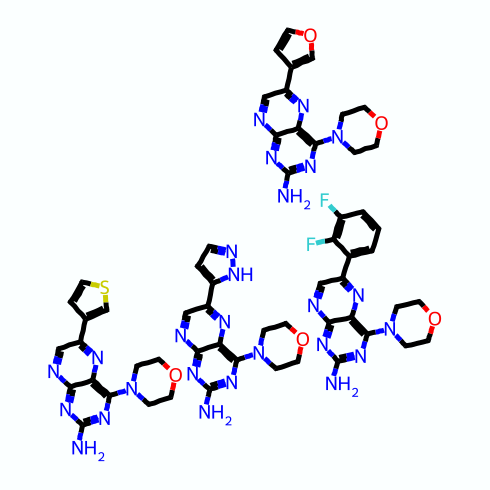 Nc1nc(N2CCOCC2)c2nc(-c3cccc(F)c3F)cnc2n1.Nc1nc(N2CCOCC2)c2nc(-c3ccn[nH]3)cnc2n1.Nc1nc(N2CCOCC2)c2nc(-c3ccoc3)cnc2n1.Nc1nc(N2CCOCC2)c2nc(-c3ccsc3)cnc2n1